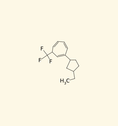 CCC1CCC(C2=CC(C(F)(F)F)C=CC=C2)C1